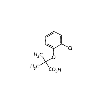 CC(C)(Oc1ccccc1Cl)C(=O)O